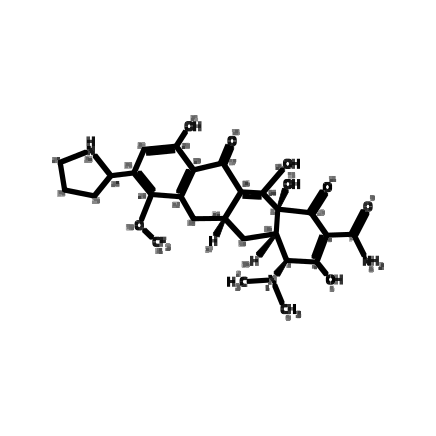 CN(C)[C@@H]1C(O)=C(C(N)=O)C(=O)[C@@]2(O)C(O)=C3C(=O)c4c(O)cc(C5CCCN5)c(OC(F)(F)F)c4C[C@H]3C[C@@H]12